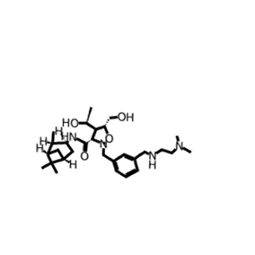 C[C@@H]1[C@@H](NC(=O)[C@@H]2C([C@H](C)O)[C@H](CO)ON2Cc2cccc(CNCCN(C)C)c2)C[C@H]2C[C@@H]1C2(C)C